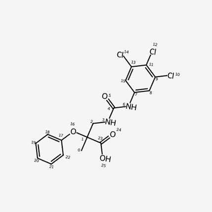 CC(CNC(=O)Nc1cc(Cl)c(Cl)c(Cl)c1)(Oc1ccccc1)C(=O)O